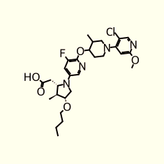 CCCCO[C@H]1CN(c2cnc(OC3CCN(c4cc(OC)ncc4Cl)CC3C)c(F)c2)[C@@H](CC(=O)O)[C@@H]1C